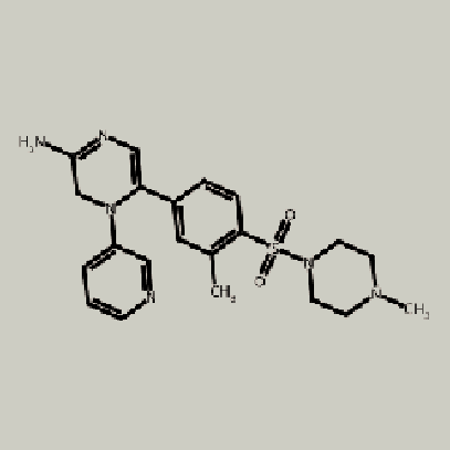 Cc1cc(C2=CN=C(N)CN2c2cccnc2)ccc1S(=O)(=O)N1CCN(C)CC1